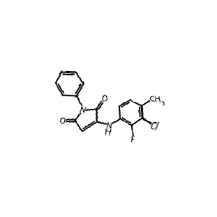 Cc1ccc(NC2=CC(=O)N(c3ccccc3)C2=O)c(F)c1Cl